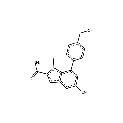 Cn1c(C(N)=O)cc2cc(C#N)cc(-c3ccc(CO)cc3)c21